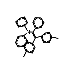 Cc1ccc(C(=C(c2ccccc2)N(c2ccccc2)c2ccccc2)c2ccc(C)cc2)cc1